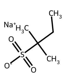 CCC(C)(C)S(=O)(=O)[O-].[Na+]